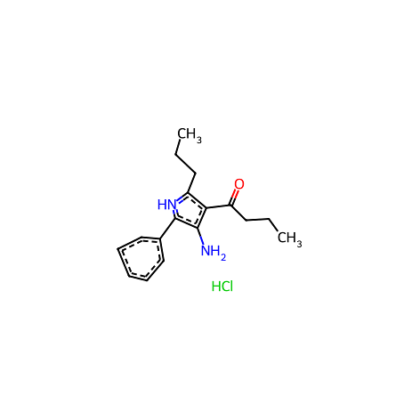 CCCC(=O)c1c(CCC)[nH]c(-c2ccccc2)c1N.Cl